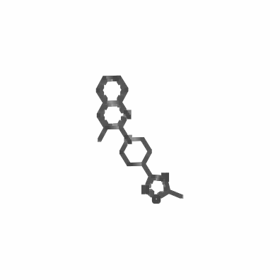 Cc1nc(C2CCN(c3nc4ccccc4cc3C)CC2)no1